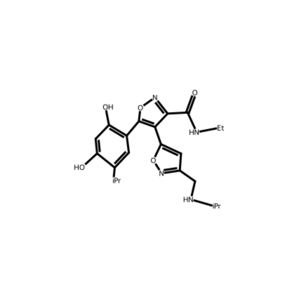 CCNC(=O)c1noc(-c2cc(C(C)C)c(O)cc2O)c1-c1cc(CNC(C)C)no1